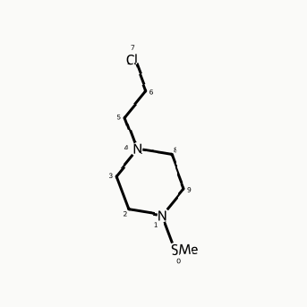 CSN1CCN(CCCl)CC1